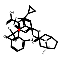 O=C(O)c1ccc(NC(=O)N2C3CC[C@H]2CC(OCc2c(-c4c(Cl)cccc4Cl)noc2C2CC2)C3)cc1C(F)(F)F